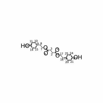 O=C(CCC(=O)OCCc1ccc(O)cc1)OCCc1ccc(O)cc1